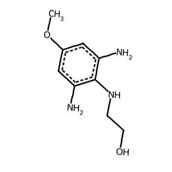 COc1cc(N)c(NCCO)c(N)c1